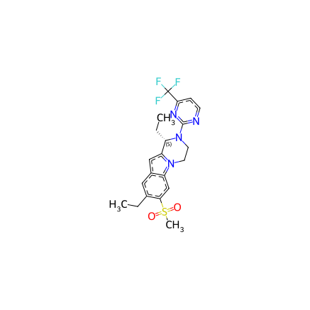 CCc1cc2cc3n(c2cc1S(C)(=O)=O)CCN(c1nccc(C(F)(F)F)n1)[C@H]3CC